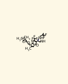 Cc1cn2c(=O)c(/C(C=N)=C/NCC3CC3(F)F)c(C(F)(F)F)nc2n1COCC[Si](C)(C)C